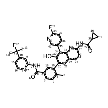 Cc1ccc(C(=O)Nc2cc(C(F)(F)F)ccn2)cc1-c1cc2cnc(NC(=O)C3CC3)nc2c(-c2ccc(F)nc2)c1O